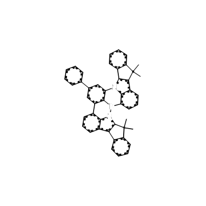 CC1(C)c2ccccc2-c2c1c1cccc3c1n2-c1cc(-c2ccccc2)cc2c1B3n1c3c(c4cccc-2c41)-c1ccccc1C3(C)C